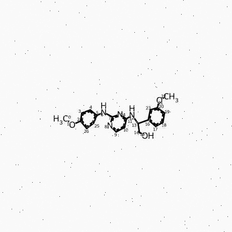 COc1ccc(Nc2nccc(NC(CO)c3cccc(OC)c3)n2)cc1